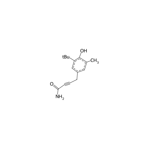 Cc1cc(CC#CC(N)=O)cc(C(C)(C)C)c1O